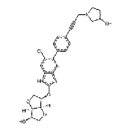 OC1CCN(CC#Cc2ccc(-c3nc4nc(O[C@@H]5CO[C@H]6[C@@H]5OC[C@H]6O)[nH]c4cc3Cl)cc2)C1